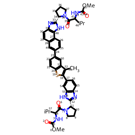 COC(=O)NC(C(=O)N1CCC[C@H]1c1nc2ccc(-c3sc4ccc(-c5ccc6c(ccc7nc([C@@H]8CCCN8C(=O)C(NC(=O)OC)C(C)C)[nH]c76)c5)cc4c3C)cc2[nH]1)C(C)C